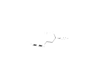 CN[C@@H](CCN=[N+]=[N-])C(=O)O